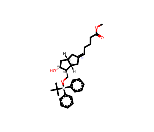 COC(=O)CCC/C=C1\C[C@H]2C[C@@H](O)[C@H](CO[Si](c3ccccc3)(c3ccccc3)C(C)(C)C)[C@H]2C1